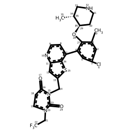 Cc1cc(Cl)cc(-c2ccnc3cc(Cn4c(=O)ccn(CC(F)(F)F)c4=O)sc23)c1O[C@@H]1CCNC[C@H]1C